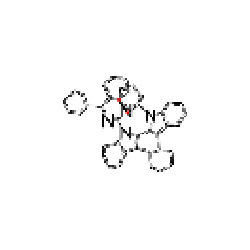 c1ccc(-c2nc(-n3c4ccccc4c4c5ccccc5c5c6ccccc6n(-c6ccccc6)c5c43)nc3ccccc23)cc1